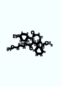 CCc1ccc(N2C(=O)CSc3c(c4ccccc4n3C)C2C(=O)NCCCOC(C)C)cc1